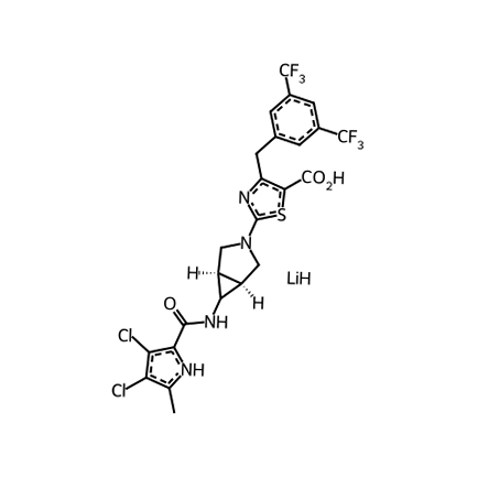 Cc1[nH]c(C(=O)NC2[C@H]3CN(c4nc(Cc5cc(C(F)(F)F)cc(C(F)(F)F)c5)c(C(=O)O)s4)C[C@@H]23)c(Cl)c1Cl.[LiH]